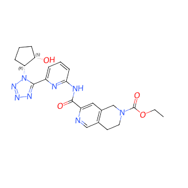 CCOC(=O)N1CCc2cnc(C(=O)Nc3cccc(-c4nnnn4[C@@H]4CCC[C@@H]4O)n3)cc2C1